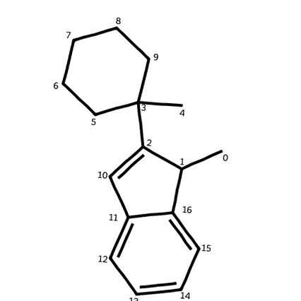 CC1C(C2(C)CCCCC2)=Cc2ccccc21